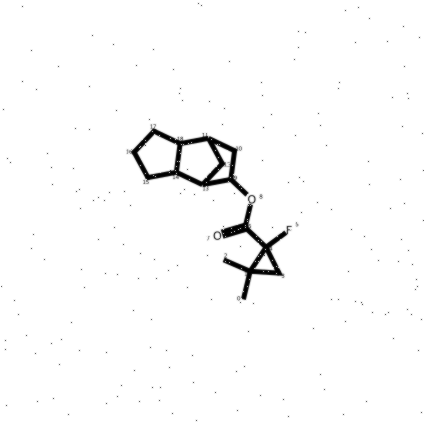 CC1(C)CC1(F)C(=O)OC1CC2CC1C1CCCC21